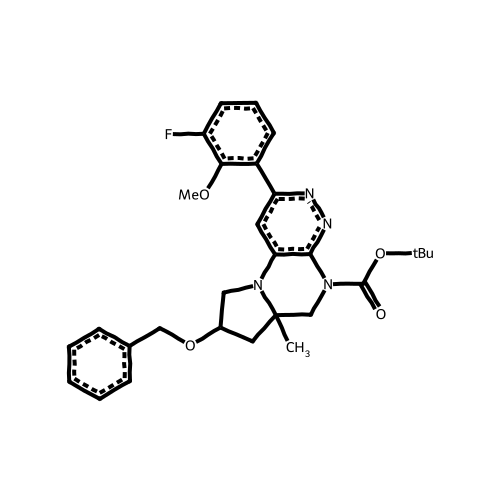 COc1c(F)cccc1-c1cc2c(nn1)N(C(=O)OC(C)(C)C)CC1(C)CC(OCc3ccccc3)CN21